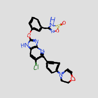 O=S1NC(c2cccc(Oc3nc4nc(-c5ccc(N6CCOCC6)cc5)c(Cl)cc4[nH]3)c2)=NO1